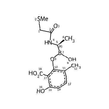 CSCC(=O)N[C@@H](C)B(O)Oc1c(C)ccc(O)c1C(=O)O